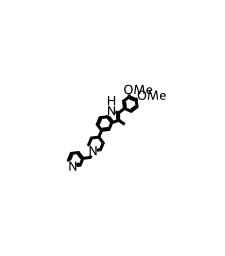 COc1ccc(-c2[nH]c3ccc(C4CCN(Cc5cccnc5)CC4)cc3c2C)cc1OC